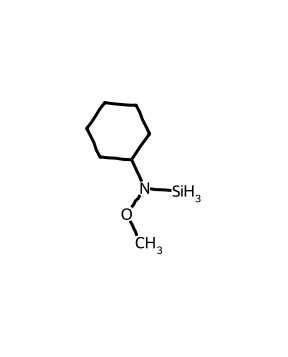 CON([SiH3])C1CCCCC1